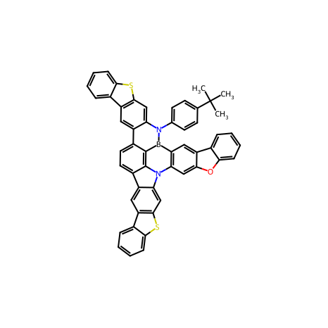 CC(C)(C)c1ccc(N2B3c4cc5c(cc4-n4c6cc7sc8ccccc8c7cc6c6ccc(c3c64)-c3cc4c(cc32)sc2ccccc24)oc2ccccc25)cc1